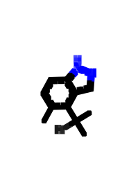 CCC(C)(C)c1c(C)ccc2[nH]ncc12